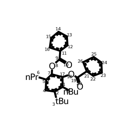 CCCCc1c(C(C)(C)C)cc(CCC)c(OC(=O)c2ccccc2)c1OC(=O)c1ccccc1